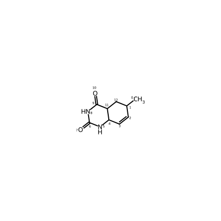 CC1C=CC2NC(=O)NC(=O)C2C1